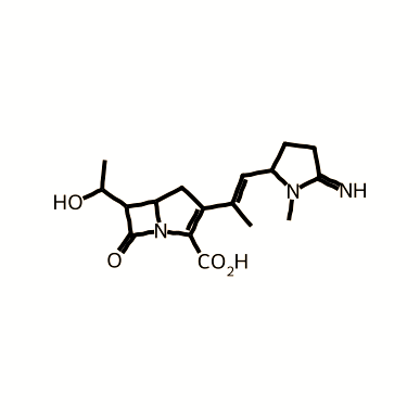 CC(=CC1CCC(=N)N1C)C1=C(C(=O)O)N2C(=O)C(C(C)O)C2C1